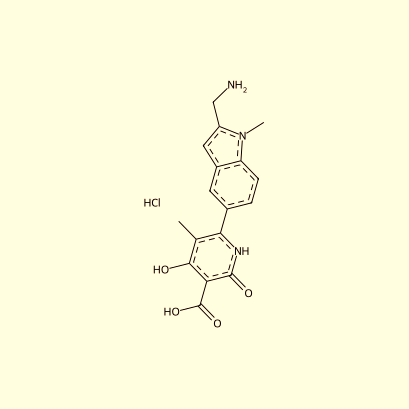 Cc1c(-c2ccc3c(c2)cc(CN)n3C)[nH]c(=O)c(C(=O)O)c1O.Cl